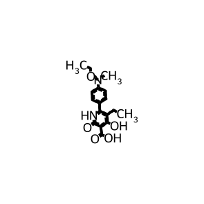 CCON(C)c1ccc(-c2[nH]c(=O)c(C(=O)O)c(O)c2CC)cc1